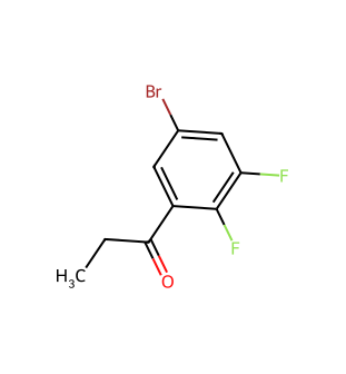 CCC(=O)c1cc(Br)cc(F)c1F